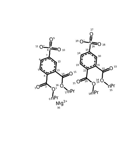 CCCOC(=O)c1ccc(S(=O)(=O)[O-])cc1C(=O)OCCC.CCCOC(=O)c1ccc(S(=O)(=O)[O-])cc1C(=O)OCCC.[Mg+2]